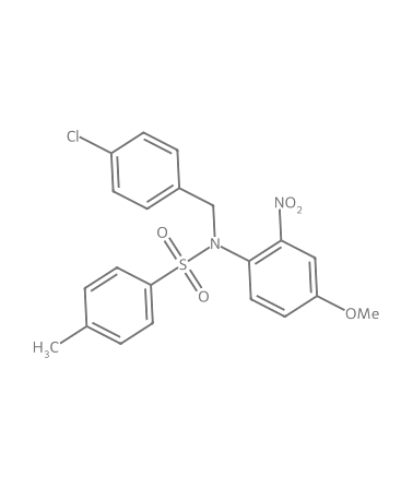 COc1ccc(N(Cc2ccc(Cl)cc2)S(=O)(=O)c2ccc(C)cc2)c([N+](=O)[O-])c1